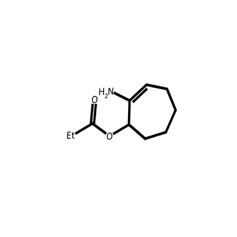 CCC(=O)OC1CCCCC=C1N